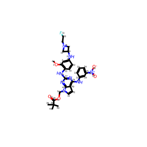 COc1cc(NC2CN(CCF)C2)ccc1Nc1nc(Nc2cccc([N+](=O)[O-])c2)c2ccn(COC(=O)C(C)(C)C)c2n1